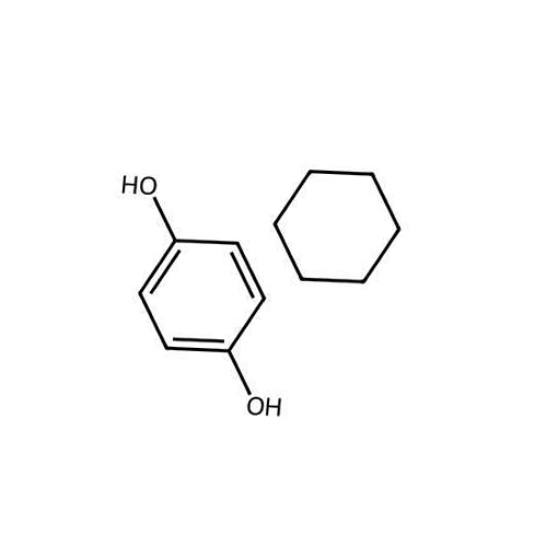 C1CCCCC1.Oc1ccc(O)cc1